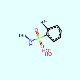 [B+2]c1ccccc1S(=O)(=O)NC(C)(C)C.[OH-].[OH-]